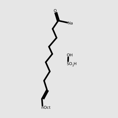 CCCCCCCCC=CCCCCCCC[C](=O)[Na].O=S(=O)(O)O